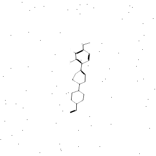 C=CC1CCC(C2CC=C(c3ccc(CC)c(F)c3Cl)CC2)CC1